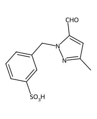 Cc1cc(C=O)n(Cc2cccc(S(=O)(=O)O)c2)n1